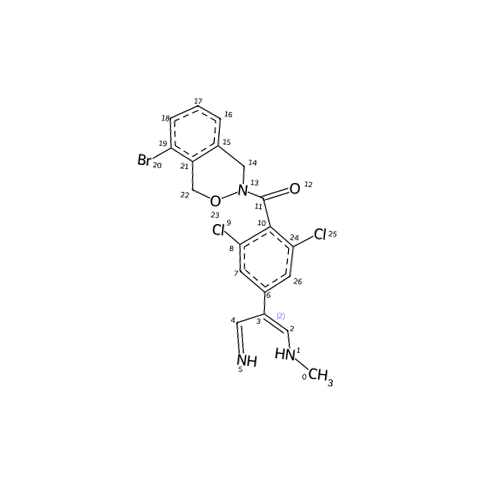 CN/C=C(\C=N)c1cc(Cl)c(C(=O)N2Cc3cccc(Br)c3CO2)c(Cl)c1